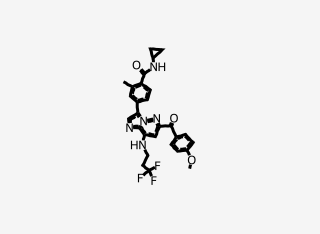 COc1ccc(C(=O)c2cc(NCCC(F)(F)F)c3ncc(-c4ccc(C(=O)NC5CC5)c(C)c4)n3n2)cc1